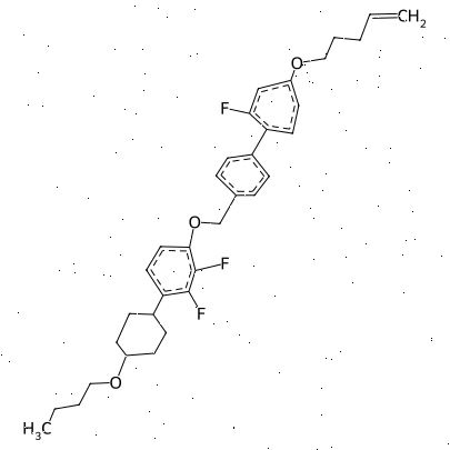 C=CCCCOc1ccc(-c2ccc(COc3ccc(C4CCC(OCCCC)CC4)c(F)c3F)cc2)c(F)c1